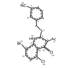 CC(=O)c1c(SCc2cccc(C#N)c2)[nH]c2c(Br)ccc(Cl)c2c1=O